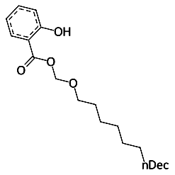 CCCCCCCCCCCCCCCCOCOC(=O)c1ccccc1O